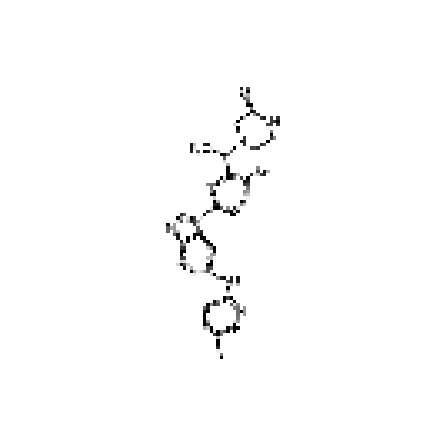 CC(=O)c1ccc(-n2cnc3ccc(Nc4ccc(C)nn4)cc32)nc1C(N1CCNC(=O)C1)C(F)(F)F